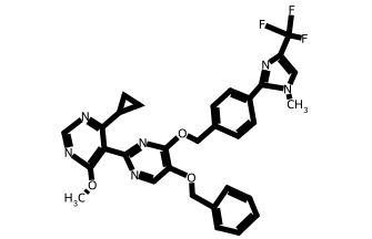 COc1ncnc(C2CC2)c1-c1ncc(OCc2ccccc2)c(OCc2ccc(-c3nc(C(F)(F)F)cn3C)cc2)n1